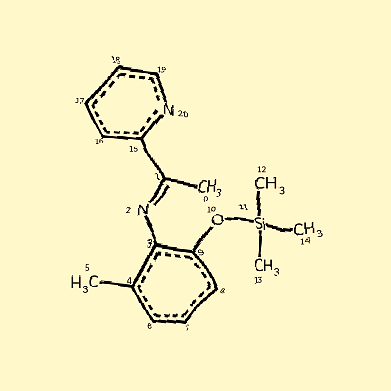 CC(=Nc1c(C)cccc1O[Si](C)(C)C)c1ccccn1